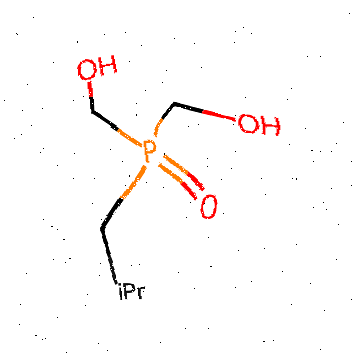 CC(C)CP(=O)(CO)CO